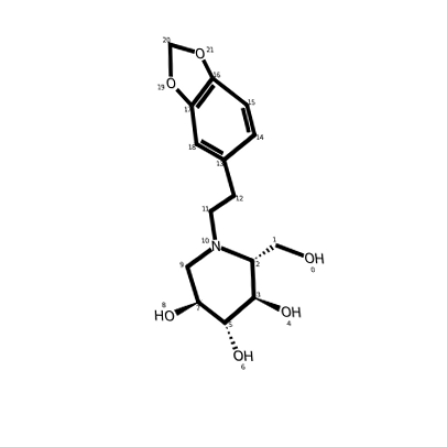 OC[C@@H]1[C@@H](O)[C@H](O)[C@@H](O)CN1CCc1ccc2c(c1)OCO2